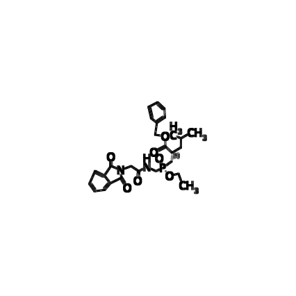 CCOP(=O)(CNC(=O)CN1C(=O)c2ccccc2C1=O)C[C@@H](CC(C)C)C(=O)OCc1ccccc1